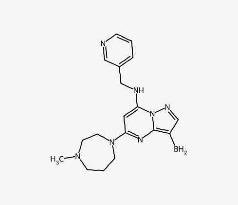 Bc1cnn2c(NCc3cccnc3)cc(N3CCCN(C)CC3)nc12